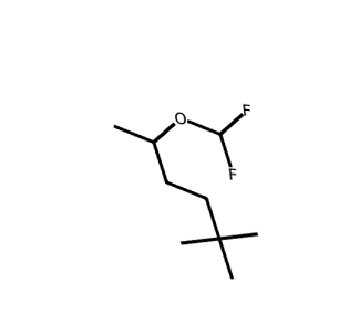 CC(CCC(C)(C)C)OC(F)F